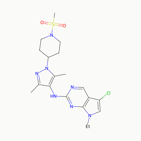 CCn1cc(Cl)c2cnc(Nc3c(C)nn(C4CCN(S(C)(=O)=O)CC4)c3C)nc21